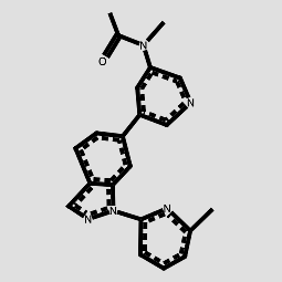 CC(=O)N(C)c1cncc(-c2ccc3cnn(-c4cccc(C)n4)c3c2)c1